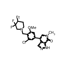 CCC1CCN(Cc2c(Cl)cc(-c3cn(C)c(=O)c4[nH]ncc34)cc2OC)CC1(F)F